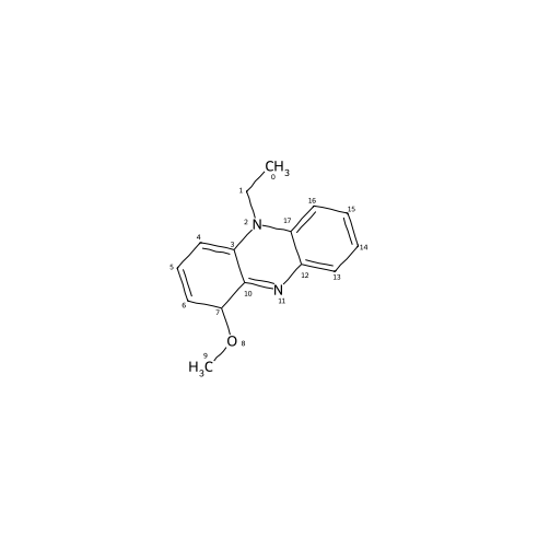 CCN1C2=CC=CC(OC)C2=Nc2ccccc21